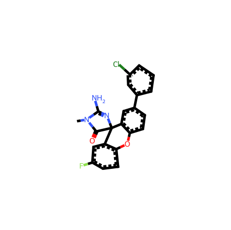 CN1C(=O)C2(N=C1N)c1cc(F)ccc1Oc1ccc(-c3cccc(Cl)c3)cc12